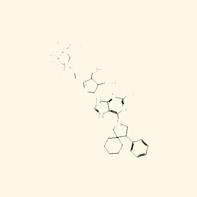 O=P(O)(O)CP(=O)(O)OC[C@H]1O[C@@H](n2cnc3c(N4CC(c5ccccc5)C5(CCCCC5)C4)nc(Cl)nc32)C(O)C1O